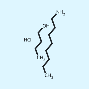 CCCCCCCCN.CCCCO.Cl